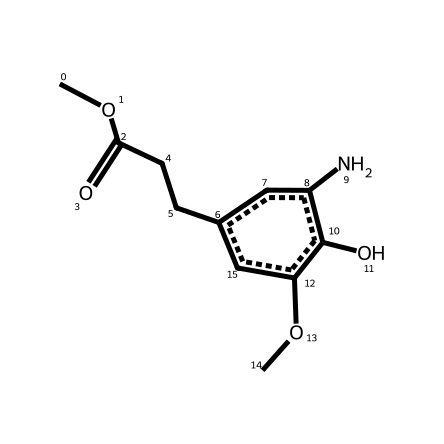 COC(=O)CCc1cc(N)c(O)c(OC)c1